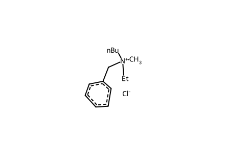 CCCC[N+](C)(CC)Cc1ccccc1.[Cl-]